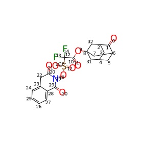 O=C1C2CC3CC1CC(OC(=O)C(F)(F)S(=O)(=O)ON1C(=O)Cc4ccccc4C1=O)(C3)C2